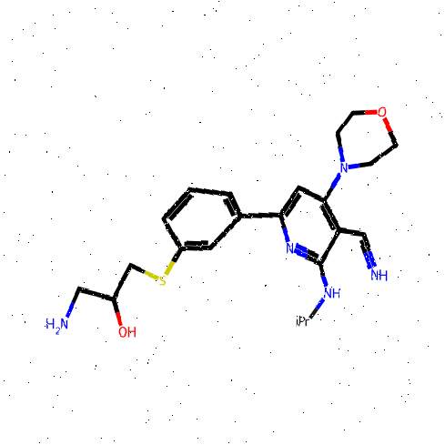 CC(C)Nc1nc(-c2cccc(SCC(O)CN)c2)cc(N2CCOCC2)c1C=N